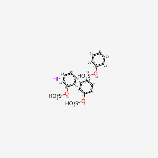 I.O=S(=O)(O)Oc1ccccc1.O=S(=O)(O)Oc1ccccc1.O=S(=O)(O)Oc1ccccc1